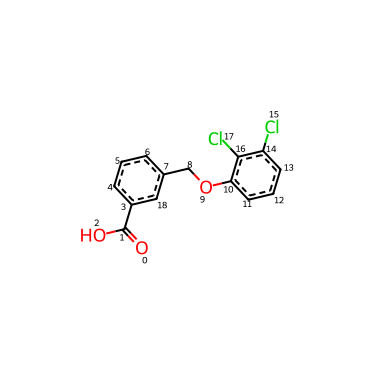 O=C(O)c1cccc(COc2cccc(Cl)c2Cl)c1